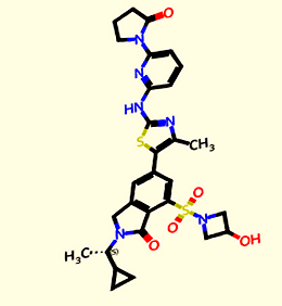 Cc1nc(Nc2cccc(N3CCCC3=O)n2)sc1-c1cc2c(c(S(=O)(=O)N3CC(O)C3)c1)C(=O)N([C@@H](C)C1CC1)C2